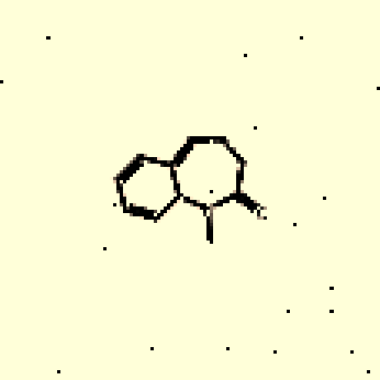 CN1C(=O)CCC=C2C=[C]C=CC21